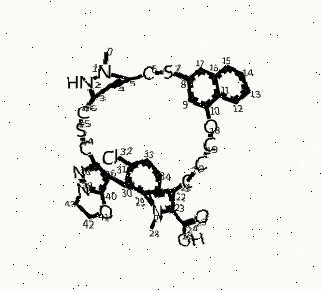 CN1NC2C=C1CSc1cc(c3ccccc3c1)OCCCc1c(C(=O)O)n(C)c3c(c(Cl)ccc13)-c1c(nn3c1OCC3)CSC2